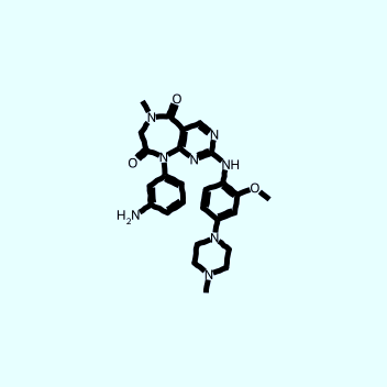 COc1cc(N2CCN(C)CC2)ccc1Nc1ncc2c(n1)N(c1cccc(N)c1)C(=O)CN(C)C2=O